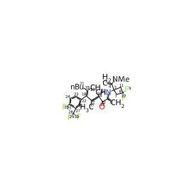 C=C(NC1(C(=C)NC)CC(F)(F)C1)C(=O)/C(C)=C(C)/C(=C(\C)CCCC)c1ccc(F)c(C(F)F)c1